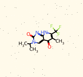 Cc1c(C(F)(F)F)[nH]c2nc(=O)n(C(C)C)cc2c1=O